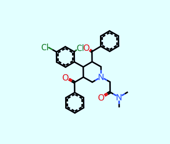 CN(C)C(=O)CN1CC(C(=O)c2ccccc2)C(c2ccc(Cl)cc2Cl)C(C(=O)c2ccccc2)C1